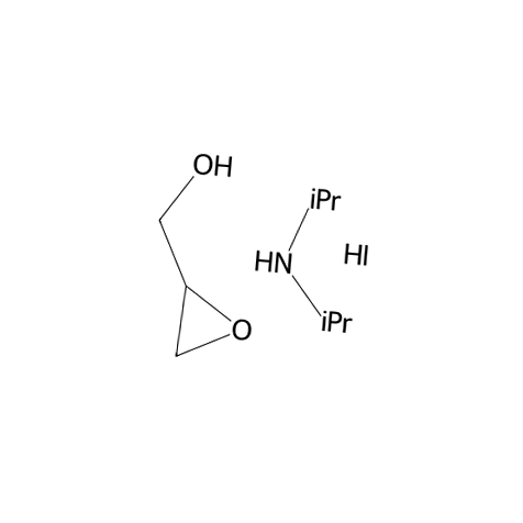 CC(C)NC(C)C.I.OCC1CO1